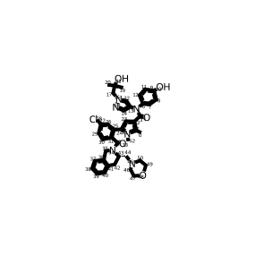 Cc1c(C(=O)N(c2ccc(O)cc2)c2cnn(CC(C)(C)O)c2)cc(-c2cc(Cl)ccc2C(=O)N2Cc3ccccc3C[C@H]2CN2CCOCC2)n1C